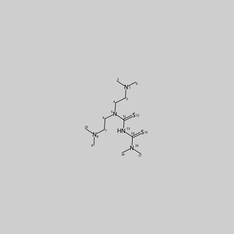 CN(C)CCN(CCN(C)C)C(=S)NC(=S)N(C)C